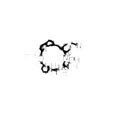 CC(C)[C@@H]1NC(=O)C2(/C=C/c3ccc4ccc(nc4c3)[C@@H](C)OC(=O)C3CCCN(N3)C(=O)[C@H](C)NC1=O)CCN(CC#N)CC2